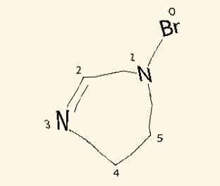 BrN1C=NCC1